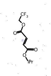 CC(C)OC(=O)/C=C/C(=O)OCC(F)(F)F